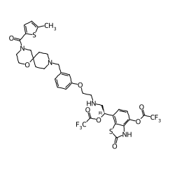 Cc1ccc(C(=O)N2CCOC3(CCN(Cc4cccc(OCCNC[C@H](OC(=O)C(F)(F)F)c5ccc(OC(=O)C(F)(F)F)c6[nH]c(=O)sc56)c4)CC3)C2)s1